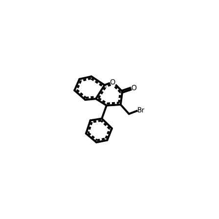 O=c1oc2ccccc2c(-c2ccccc2)c1CBr